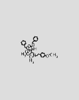 CCOc1ccc(CCN(CC)CC(CC)N(NC(=O)OCc2ccccc2)C(=O)OCc2ccccc2)cc1